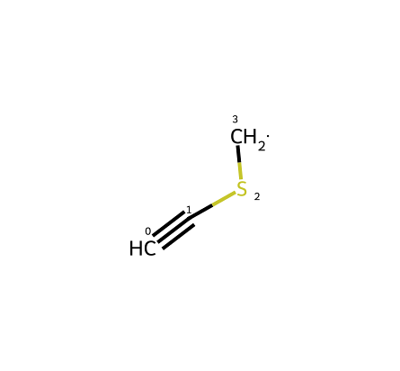 C#CS[CH2]